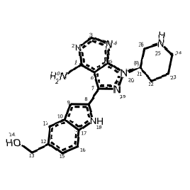 Nc1ncnc2c1c(-c1cc3cc(CO)ccc3[nH]1)nn2[C@@H]1CCCNC1